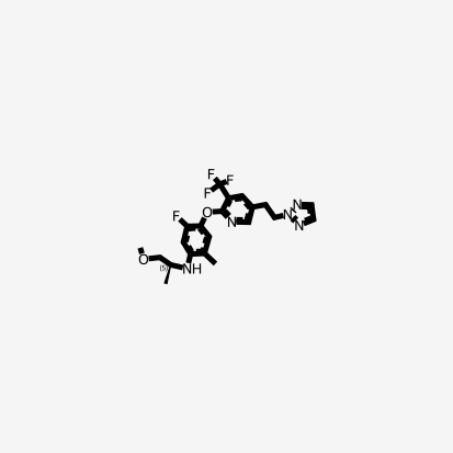 COC[C@H](C)Nc1cc(F)c(Oc2ncc(CCn3nccn3)cc2C(F)(F)F)cc1C